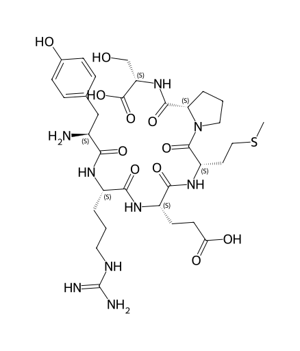 CSCC[C@H](NC(=O)[C@H](CCC(=O)O)NC(=O)[C@H](CCCNC(=N)N)NC(=O)[C@@H](N)Cc1ccc(O)cc1)C(=O)N1CCC[C@H]1C(=O)N[C@@H](CO)C(=O)O